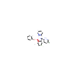 O=C(N[C@](Cc1ccccc1)(c1cc(F)cc(C(F)(F)F)c1)c1ccc(Cl)cn1)OCc1ccccc1